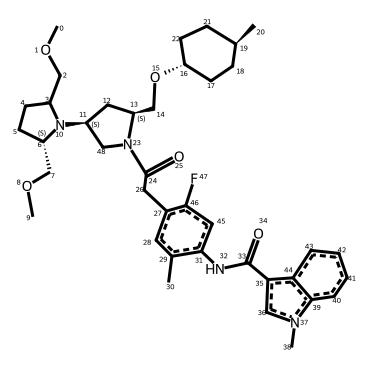 COCC1CC[C@@H](COC)N1[C@H]1C[C@@H](CO[C@H]2CC[C@H](C)CC2)N(C(=O)Cc2cc(C)c(NC(=O)c3cn(C)c4ccccc34)cc2F)C1